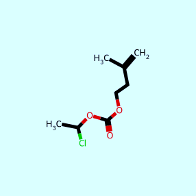 C=C(C)CCOC(=O)OC(C)Cl